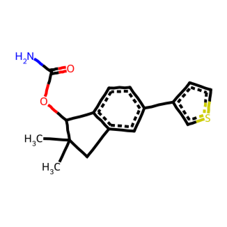 CC1(C)Cc2cc(-c3ccsc3)ccc2C1OC(N)=O